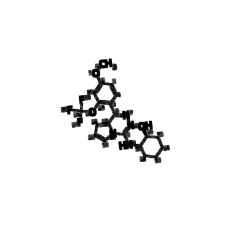 COc1ccc(-c2nnc(NC3CCCC[C@@H]3O)n3cccc23)c(OC(F)(F)F)c1